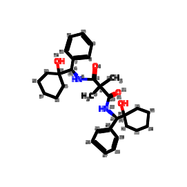 CC(C)(C(=O)N[C@H](c1ccccc1)C1(O)CCCCC1)C(=O)N[C@H](c1ccccc1)C1(O)CCCCC1